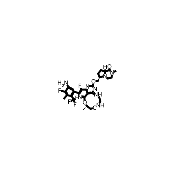 Cc1c(F)c(N)cc(-c2nc3c4c(nc(OC[C@H]5CC[C@@H]6C(=O)N(C)CCN56)nc4c2F)NCCNCC[C@H](C)O3)c1C(F)(F)F